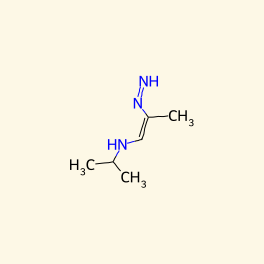 C/C(=C/NC(C)C)N=N